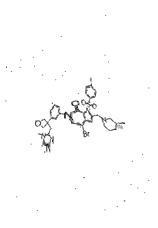 Cc1ccc(S(=O)(=O)n2c(CN3CCC[C@H](C)C3)cc3c(Br)cn(-c4cccc(C5(Cc6nncn6C)COC5)c4)c(=O)c32)cc1